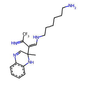 CC1(/C(=C/NCCCCCCN)C(=N)C(F)(F)F)C=Nc2ccccc2N1